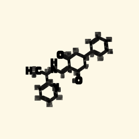 CC(NC=C1C(=O)CC(c2ccccc2)CC1=O)c1ccccn1